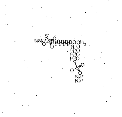 O.O.O.O.O.O.O.O.O.O.O=S(=O)([O-])[S-].O=S(=O)([O-])[S-].[Na+].[Na+].[Na+].[Na+]